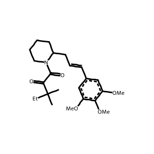 CCC(C)(C)C(=O)C(=O)N1CCCCC1CC=Cc1cc(OC)c(OC)c(OC)c1